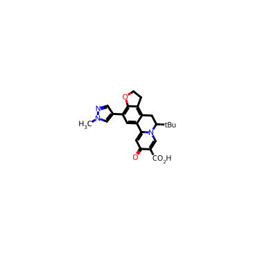 Cn1cc(-c2cc3c(c4c2OCC4)CC(C(C)(C)C)n2cc(C(=O)O)c(=O)cc2-3)cn1